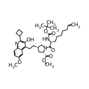 C=CCCCCC[C@H](NC(=O)OC(C)(C)C)C(=O)N1C[C@H](CCc2c(O)c(C3CCC3)nc3ccc(OC)cc23)C[C@H]1C(=O)OC